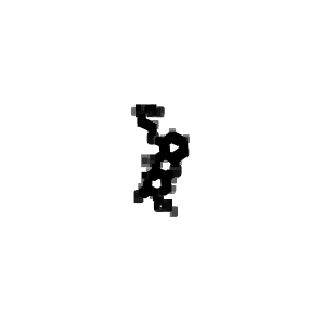 CNCCOc1cccc2c1Nc1nc(=S)n(C)cc1O2